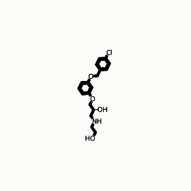 OCCNC[C@@H](O)COc1cccc(OCc2ccc(Cl)cc2)c1